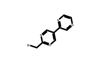 BrCc1ncc(-c2cnccn2)cn1